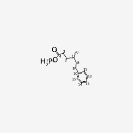 CC(CCC(=O)OP)CCc1ccccc1